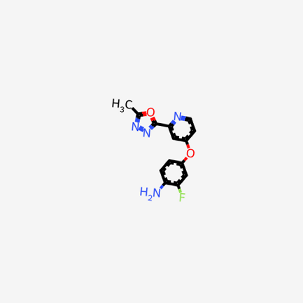 Cc1nnc(-c2cc(Oc3ccc(N)c(F)c3)ccn2)o1